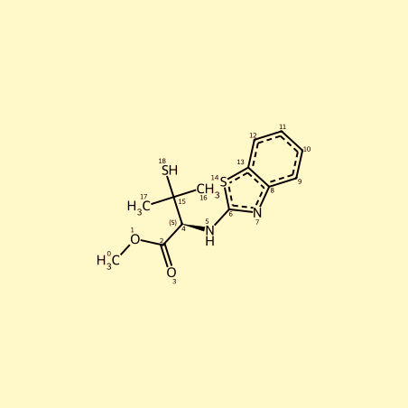 COC(=O)[C@H](Nc1nc2ccccc2s1)C(C)(C)S